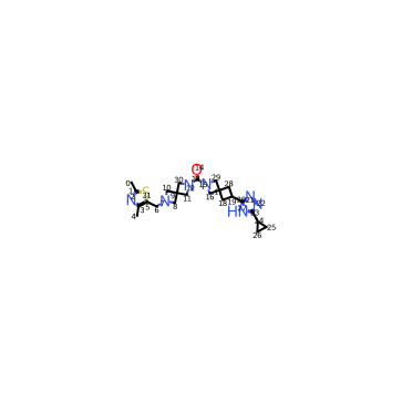 Cc1nc(C)c(CN2CC3(C2)CN(C(=O)N2CC4(CC(c5nnc(C6CC6)[nH]5)C4)C2)C3)s1